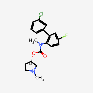 CN1CC[C@H](OC(=O)N(C)c2ccc(F)cc2-c2cccc(Cl)c2)C1